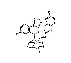 C[C@@H]1C2CC(C2)N(C(=O)c2cc(F)ccc2-n2nccn2)[C@@H]1CNc1nc2ccc(F)cc2s1